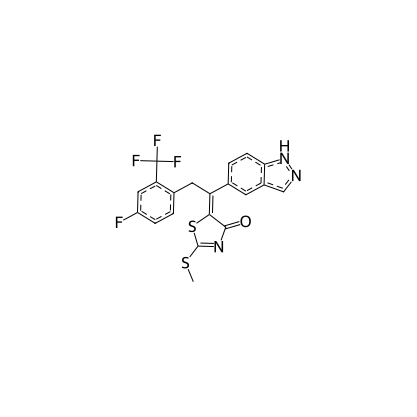 CSC1=NC(=O)C(=C(Cc2ccc(F)cc2C(F)(F)F)c2ccc3[nH]ncc3c2)S1